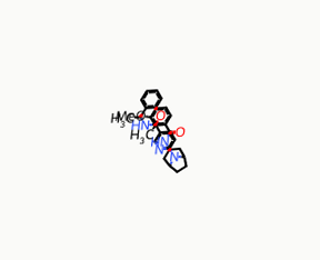 COc1cccc(C(=O)NC2CC3CCC(C2)N3c2ccc(C(=O)NC(C)c3ccccc3)cn2)c1C